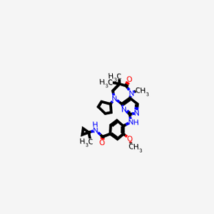 COc1cc(C(=O)NC2(C)CC2)ccc1Nc1ncc2c(n1)N(C1CCCC1)CC(C)(C)C(=O)N2C